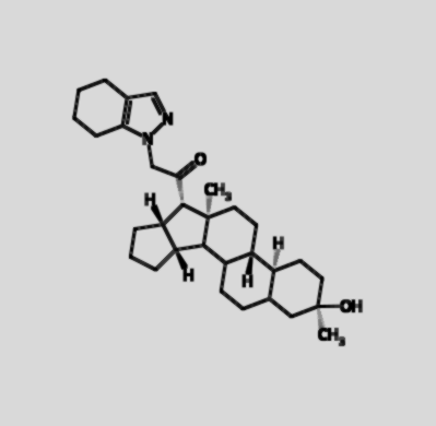 C[C@@]1(O)CC[C@H]2C(CCC3C4[C@@H]5CCC[C@@H]5[C@H](C(=O)Cn5ncc6c5CCCC6)[C@@]4(C)CC[C@@H]32)C1